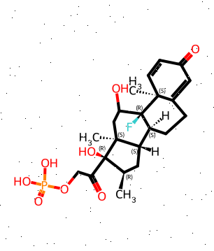 C[C@@H]1C[C@H]2[C@@H]3CCC4=CC(=O)C=C[C@]4(C)[C@@]3(F)C(O)C[C@]2(C)[C@@]1(O)C(=O)COP(=O)(O)O